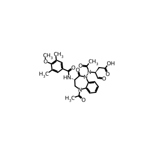 COc1c(C)cc(C(=O)N[C@H]2CN(C(C)=O)c3ccccc3N(N(C(C)=O)[C@H](C=O)CC(=O)O)C2=O)cc1C